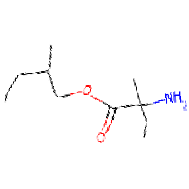 CCC(C)COC(=O)C(C)(C)N